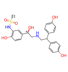 CCS(=O)(=O)Nc1cc([C@@H](O)CNCC(c2ccc(O)cc2)c2ccc(O)cc2)ccc1O